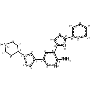 Nc1ncc(-c2cnn(C3CCNCC3)c2)cc1-c1ccc(-c2ccccc2)o1